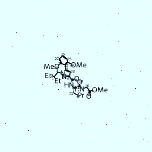 CCC(CC)Cn1nc(C(=O)N[C@@H](CC(C)C)C(=O)NCC(=O)OC)cc1-c1c(OC)cccc1OC